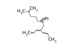 C=C/C=C(\C=C\C)CN(CCC)CCCC(=C)C